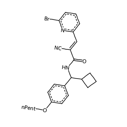 CCCCCOc1ccc(C(NC(=O)/C(C#N)=C/c2cccc(Br)n2)C2CCC2)cc1